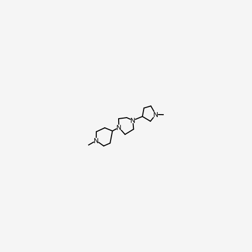 CN1CCC(N2CCN(C3CCN(C)C3)CC2)CC1